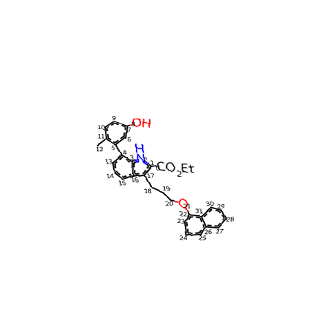 CCOC(=O)c1[nH]c2c(-c3cc(O)ccc3C)cccc2c1CCCOc1cccc2ccccc12